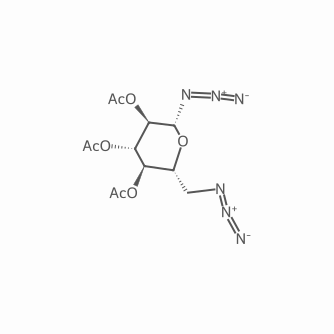 CC(=O)O[C@@H]1[C@@H](OC(C)=O)[C@H](N=[N+]=[N-])O[C@H](CN=[N+]=[N-])[C@H]1OC(C)=O